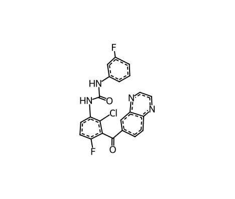 O=C(Nc1cccc(F)c1)Nc1ccc(F)c(C(=O)c2ccc3nccnc3c2)c1Cl